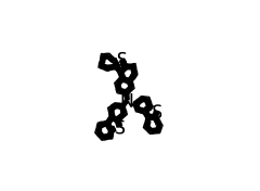 c1ccc2c(c1)sc1cc(N(c3ccc4c(ccc5sc6ccccc6c54)c3)c3ccc4sc5ccccc5c4c3)ccc12